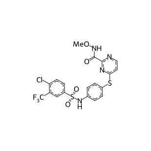 CONC(=O)c1nccc(Sc2ccc(NS(=O)(=O)c3ccc(Cl)c(C(F)(F)F)c3)cc2)n1